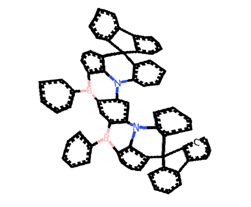 c1ccc(B2c3cc4c(cc3N3c5ccccc5C5(c6ccccc6-c6ccccc65)c5cccc2c53)N2c3ccccc3C3(c5ccccc5-c5ccccc53)c3cccc(c32)B4c2ccccc2)cc1